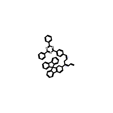 C=C/C=C(\C/C=C\c1ccc(-c2nc(-c3ccccc3)nc(-c3ccccc3)n2)cc1)C1C=CC2=C(C1)C1(c3ccccc32)c2ccccc2-c2ccccc21